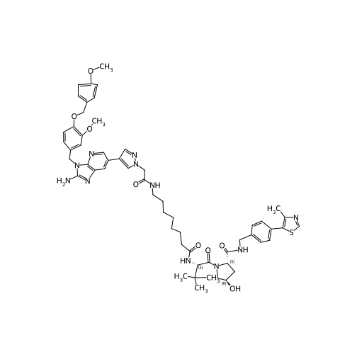 COc1ccc(COc2ccc(Cn3c(N)nc4cc(-c5cnn(CC(=O)NCCCCCCCC(=O)N[C@H](C(=O)N6C[C@H](O)C[C@H]6C(=O)NCc6ccc(-c7scnc7C)cc6)C(C)(C)C)c5)cnc43)cc2OC)cc1